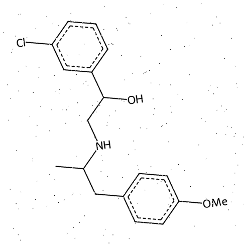 COc1ccc(CC(C)NCC(O)c2cccc(Cl)c2)cc1